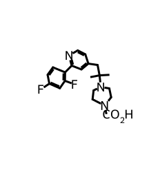 CC(C)(Cc1ccnc(-c2ccc(F)cc2F)c1)N1CCN(C(=O)O)CC1